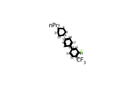 CCC[C@H]1CC[C@H](c2ccc(-c3ccc(C(F)(F)F)c(F)c3)cc2)CC1